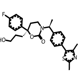 Cc1nc(C)c(-c2ccc([C@H](C)N3CC[C@](CCCO)(c4ccc(F)cc4)OC3=O)cc2)s1